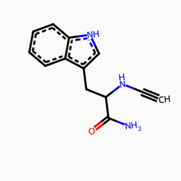 C#CNC(Cc1c[nH]c2ccccc12)C(N)=O